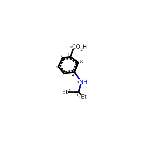 CCC(CC)Nc1cccc(C(=O)O)c1